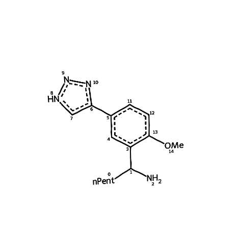 CCCCCC(N)c1cc(-c2c[nH]nn2)ccc1OC